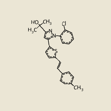 Cc1ccc(C=Cc2ccc(-c3cc(C(C)(C)O)nn3-c3ccccc3Cl)s2)cc1